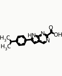 CC(C)c1ccc(-c2cc3cnc(C(=O)O)nc3[nH]2)cc1